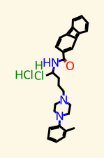 Cc1ccccc1N1CCN(CCCC(C)NC(=O)c2ccc3c(c2)=c2ccccc2=3)CC1.Cl.Cl